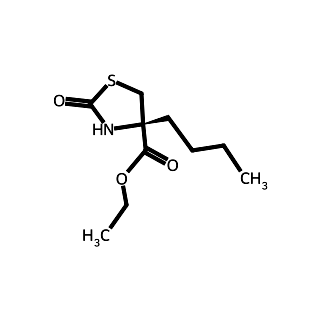 CCCC[C@]1(C(=O)OCC)CSC(=O)N1